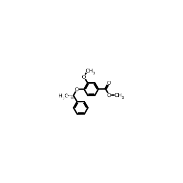 COC(=O)c1ccc(O[C@@H](C)c2ccccc2)c(OC)c1